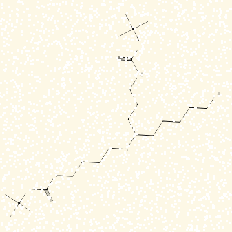 CC(C)(C)OC(=O)NCCCCNC(CCCCCN)CCCNC(=O)OC(C)(C)C